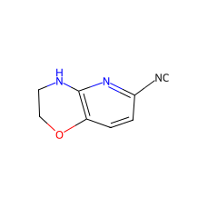 [C-]#[N+]c1ccc2c(n1)NCCO2